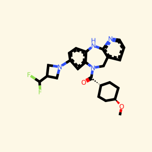 CO[C@H]1CC[C@H](C(=O)N2Cc3cccnc3Nc3ccc(N4CC(C(F)F)C4)cc32)CC1